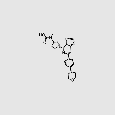 CN(C(=O)O)C1CCN(c2nc(-c3ccc(N4CCOCC4)cc3)cc3nccnc23)C1